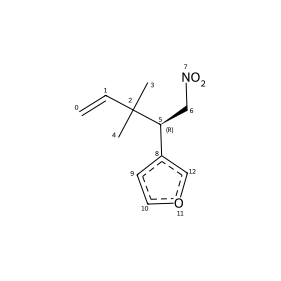 C=CC(C)(C)[C@@H](C[N+](=O)[O-])c1ccoc1